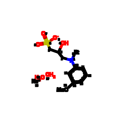 CCN(CC(O)CS(=O)(=O)[O-])c1cccc(OC)c1.O.O.[Na+]